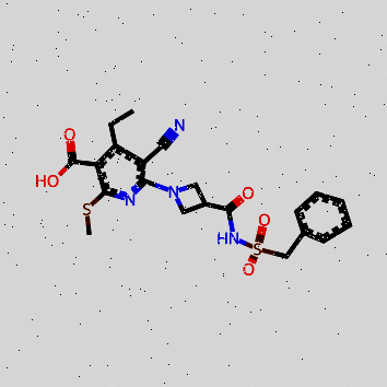 CCc1c(C#N)c(N2CC(C(=O)NS(=O)(=O)Cc3ccccc3)C2)nc(SC)c1C(=O)O